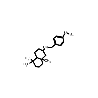 CC(C)(C)Oc1ccc(CNC2CCC3C(C)(C)CCCC3(C)C2)cc1